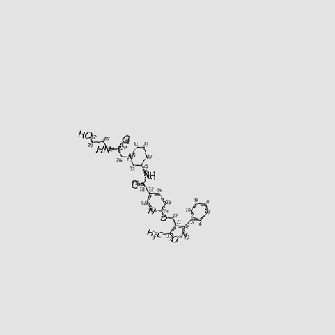 Cc1onc(-c2ccccc2)c1COc1ccc(C(=O)NC2CCCN(CC(=O)NCCO)C2)cn1